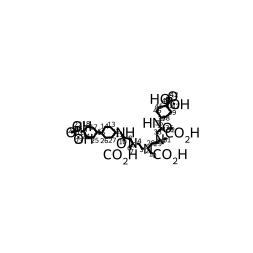 O=C(O)CN(CCN(CC(=O)O)CC(=O)NC1CCC(C2CCC(P(=O)(O)O)CC2)CC1)CCN(CC(=O)O)CC(=O)NC1CCC(P(=O)(O)O)CC1